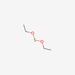 CCOSOCC